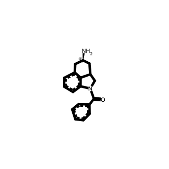 N[C@@H]1Cc2cccc3c2C(C1)CN3C(=O)c1ccccc1